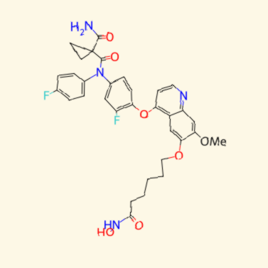 COc1cc2nccc(Oc3ccc(N(C(=O)C4(C(N)=O)CC4)c4ccc(F)cc4)cc3F)c2cc1OCCCCCC(=O)NO